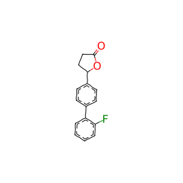 O=C1CCC(c2ccc(-c3ccccc3F)cc2)O1